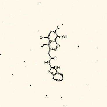 O=C(Cn1cnc2c(O)c(Cl)cc(Cl)c2c1=O)Nc1nc2ccccc2[nH]1